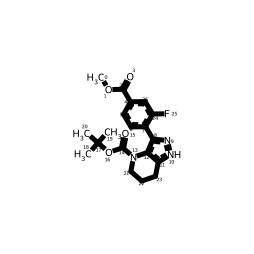 COC(=O)c1ccc(-c2n[nH]c3c2N(C(=O)OC(C)(C)C)CCC3)c(F)c1